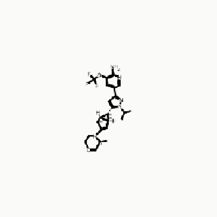 CC(C)n1nc(-c2cnc(N)c(OC(F)(F)F)c2)cc1[C@@H]1[C@H]2C=C(N3CCOC[C@@H]3C)C[C@H]21